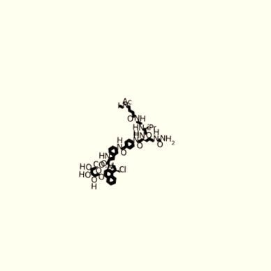 CC(=O)N(CI)CCCC(=O)NCCN[C@H](C(=O)N[C@@H](CCCNC(N)=O)C(=O)Nc1ccc(C(=O)Nc2ccc3[nH]c(C(=O)N4C[C@@H](CCl)c5c4cc(O[C@H]4OC(C(=O)O)[C@@H](O)C(O)[C@H]4O)c4ccccc54)cc3c2)cc1)C(C)C